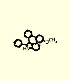 COc1ccc(-c2ccccc2-c2c(-c3ccccc3)[nH]c3ccccc23)cc1